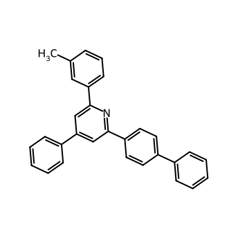 Cc1cccc(-c2cc(-c3ccccc3)cc(-c3ccc(-c4ccccc4)cc3)n2)c1